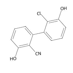 N#Cc1c(O)cccc1-c1cccc(O)c1Cl